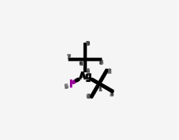 C[C](C)(C)[Ag]([I])[C](C)(C)C